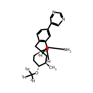 [2H]C([2H])([2H])O[C@@H]1CC[C@]2(Cc3ccc(-c4cncnc4)cc3[C@]23N=C(N)OC3([2H])[2H])C[C@H]1C